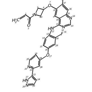 C=CC(=O)N1CC(Oc2cc3c(Nc4ccc(Oc5ccnc(-c6ccn[nH]6)c5)cc4F)ncnc3cc2OC)C1